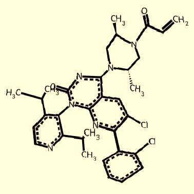 C=CC(=O)N1C[C@H](C)N(c2nc(=O)n(-c3c(C(C)C)ccnc3C(C)C)c3nc(-c4ccccc4Cl)c(Cl)cc23)C[C@H]1C